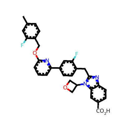 Cc1ccc(COc2cccc(-c3ccc(Cc4nc5ccc(C(=O)O)cc5n4C4COC4)c(F)c3)n2)c(F)c1